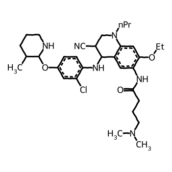 CCCN1CC(C#N)C(Nc2ccc(OC3NCCCC3C)cc2Cl)c2cc(NC(=O)CCCN(C)C)c(OCC)cc21